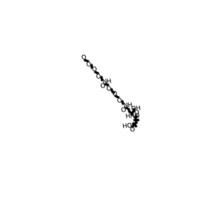 CC(C)(CC(C)(C)C(=O)NC(CCC(=O)NCCOCCOCCOCC(=O)NCCOCCOCCOCC=O)C(=O)O)C(=O)O